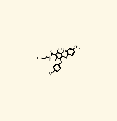 Cc1ccc(Sc2c(Cl)c(C(=O)O)c(C(=O)NCCO)c(Cl)c2Sc2ccc(C)cc2)cc1